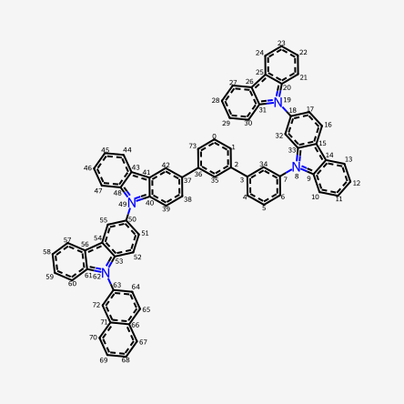 c1cc(-c2cccc(-n3c4ccccc4c4ccc(-n5c6ccccc6c6ccccc65)cc43)c2)cc(-c2ccc3c(c2)c2ccccc2n3-c2ccc3c(c2)c2ccccc2n3-c2ccc3ccccc3c2)c1